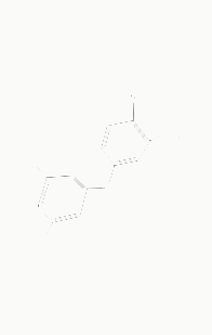 Cc1cc(Oc2cc(F)cc(F)c2)ccc1N